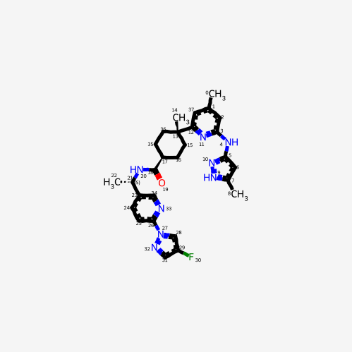 Cc1cc(Nc2cc(C)[nH]n2)nc([C@]2(C)CC[C@@H](C(=O)N[C@@H](C)c3ccc(-n4cc(F)cn4)nc3)CC2)c1